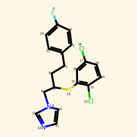 Fc1ccc(CCC(Cn2ccnc2)Sc2cc(Cl)ccc2Cl)cc1